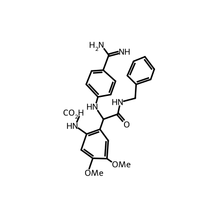 COc1cc(NC(=O)O)c(C(Nc2ccc(C(=N)N)cc2)C(=O)NCc2ccccc2)cc1OC